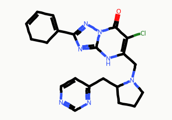 O=c1c(Cl)c(CN2CCCC2Cc2ccncn2)[nH]c2nc(C3=CC=CCC3)nn12